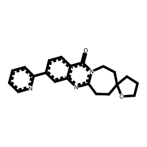 O=c1c2ccc(-c3ccccn3)cc2nc2n1CCC1(CCCO1)CC2